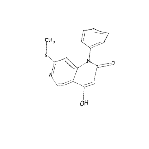 CSc1cc2c(cn1)c(O)cc(=O)n2-c1ccccc1